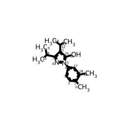 Cc1ccc(-n2nc(C(C)C)c(C(C)C)c2O)cc1C